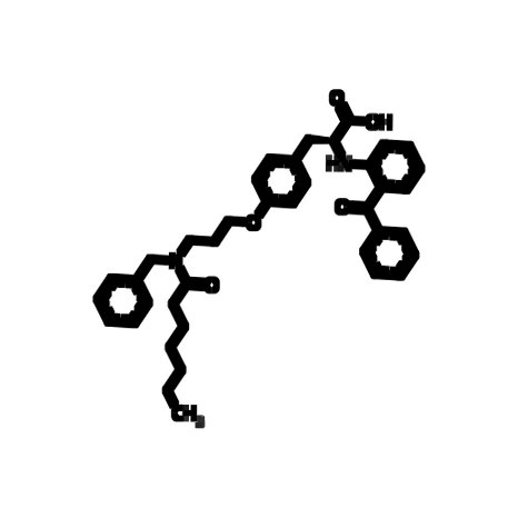 CCCCCCC(=O)N(CCCOc1ccc(C[C@H](Nc2ccccc2C(=O)c2ccccc2)C(=O)O)cc1)Cc1ccccc1